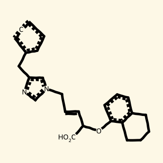 O=C(O)C(C=CCn1cnc(Cc2ccccc2)c1)Oc1cccc2c1CCCC2